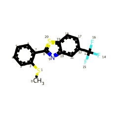 CSc1ccccc1-c1nc2cc(C(F)(F)F)ccc2s1